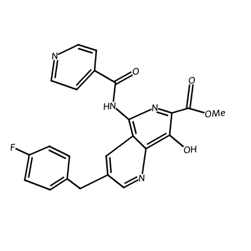 COC(=O)c1nc(NC(=O)c2ccncc2)c2cc(Cc3ccc(F)cc3)cnc2c1O